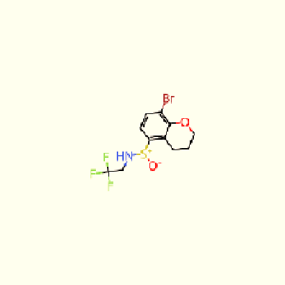 [O-][S+](NCC(F)(F)F)c1ccc(Br)c2c1CCCO2